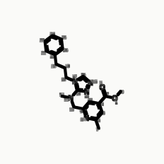 COC(=O)c1cc(C)nc(CN(C)c2nncn2CCCc2ccccc2)c1